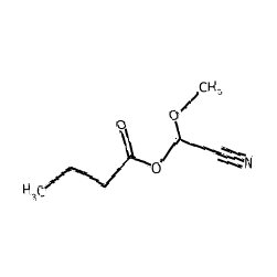 CCCC(=O)O[C](C#N)OC